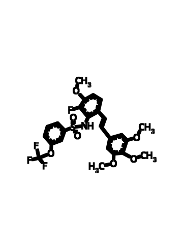 COc1ccc(C=Cc2cc(OC)c(OC)c(OC)c2)c(NS(=O)(=O)c2cccc(OC(F)(F)F)c2)c1F